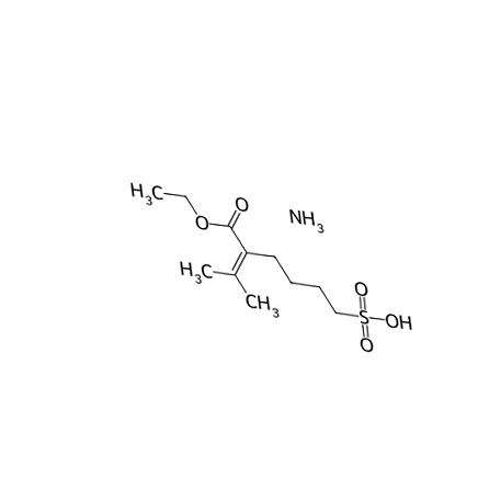 CCOC(=O)C(CCCCS(=O)(=O)O)=C(C)C.N